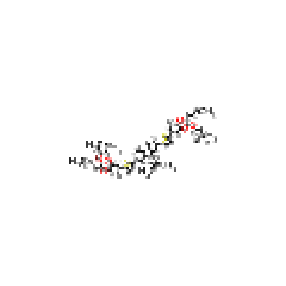 C=CC(C=C)OC(=O)C(CCCC)Oc1ccc(-c2ccc(-c3ccc4c(c3)C(CCC)(CCC)c3cc(-c5ccc(-c6ccc(OC(CCCC)C(=O)OC(C=C)C=C)cc6)s5)ccc3-4)s2)cc1